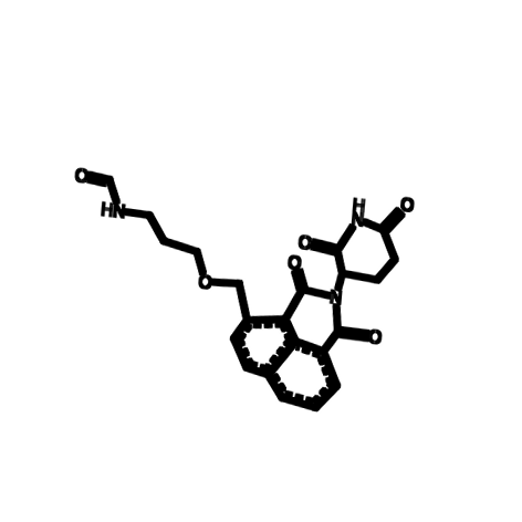 O=CNCCCOCc1ccc2cccc3c2c1C(=O)N(C1CCC(=O)NC1=O)C3=O